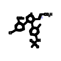 COc1cc(Cl)ccc1-c1csc(/C=C/C(=O)O)c1-c1ccc(NS(C)(=O)=O)cc1C